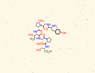 C[C@@H](O)[C@H](NC(=O)[C@@H]1CCCN1C(=O)[C@H](CO)NC(=O)[C@@H](N)Cc1ccc(O)cc1)C(=O)N[C@@H](CO)C(=O)N1CCC[C@H]1C(=O)N[C@@H](CO)C(=O)O